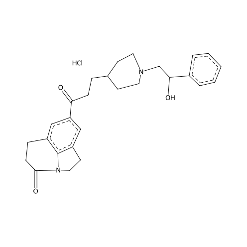 Cl.O=C(CCC1CCN(CC(O)c2ccccc2)CC1)c1cc2c3c(c1)CCN3C(=O)CC2